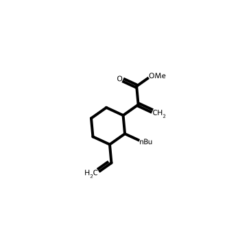 C=CC1CCCC(C(=C)C(=O)OC)C1CCCC